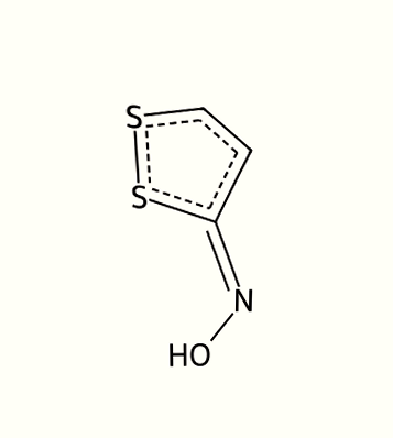 ON=c1ccss1